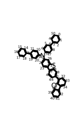 c1ccc(-c2ccc(N(c3ccc(-c4ccccc4)cc3)c3ccc4c(c3)sc3cc(-c5cccc6c5oc5ccccc56)ccc34)cc2)cc1